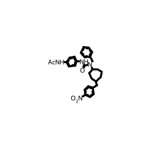 CC(=O)Nc1ccc(NC(=O)N(Cc2ccccc2)C2CCCC(Cc3ccc([N+](=O)[O-])cc3)CC2)cc1